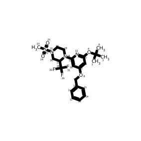 CC(C)(C)Oc1cc(OCc2ccccc2)cc(N2CCN(S(C)(=O)=O)CC2C(F)(F)F)n1